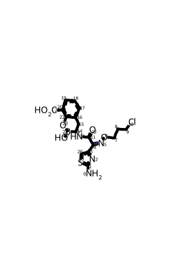 Nc1nc(/C(=N/OCCCCl)C(=O)N[C@H]2Cc3cccc(C(=O)O)c3OB2O)cs1